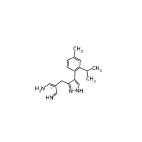 Cc1ccc(-c2c[nH]nc2C/C(C=N)=C/N)c(C(C)C)c1